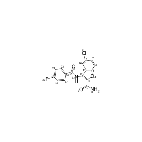 NC(=O)c1oc2ccc(Cl)cc2c1NC(=O)c1ccc(F)cc1